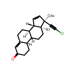 CC[C@]12CC[C@H]3[C@@H](CCC4=CC(=O)CC[C@@H]43)[C@@H]1C=C[C@]2(C#CCl)OC(C)=O